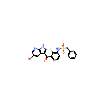 O=C(c1cccc(NS(=O)(=O)Cc2ccccc2)c1F)c1c[nH]c2ncc(Br)cc12